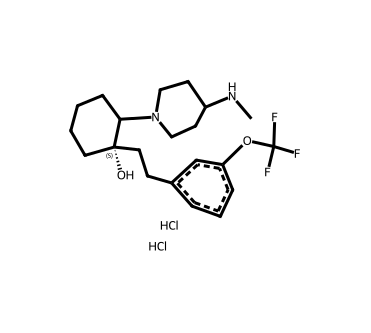 CNC1CCN(C2CCCC[C@]2(O)CCc2cccc(OC(F)(F)F)c2)CC1.Cl.Cl